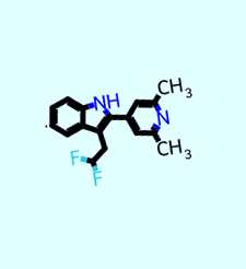 Cc1cc(-c2[nH]c3cc[c]cc3c2CC(F)F)cc(C)n1